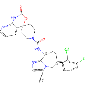 CCc1cnc2n1C[C@H](c1cccc(Cl)c1Cl)CC[C@H]2NC(=O)N1CCC2(CC1)OC(=O)Nc1ncccc12